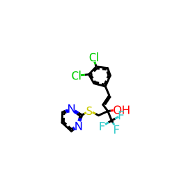 OC(/C=C/c1ccc(Cl)c(Cl)c1)(CSc1ncccn1)C(F)(F)F